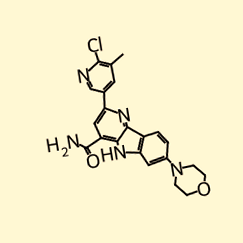 Cc1cc(-c2cc(C(N)=O)c3[nH]c4cc(N5CCOCC5)ccc4c3n2)cnc1Cl